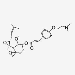 COC1C(OC(=O)/C=C/c2ccc(OCCN(C)C)cc2)CC[C@]2(CO2)C1[C@@]1(C)O[C@@H]1CC=C(C)C